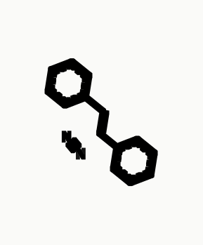 C(=Cc1ccccc1)c1ccccc1.N#N